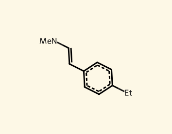 CCc1ccc(/C=C/NC)cc1